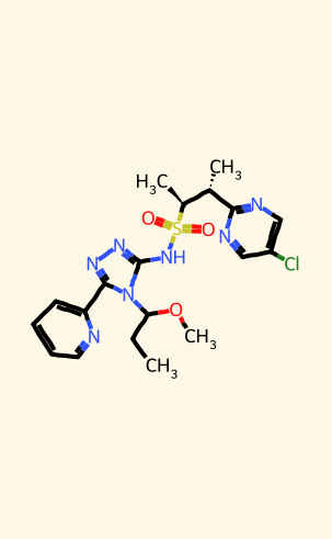 CCC(OC)n1c(NS(=O)(=O)[C@@H](C)[C@H](C)c2ncc(Cl)cn2)nnc1-c1ccccn1